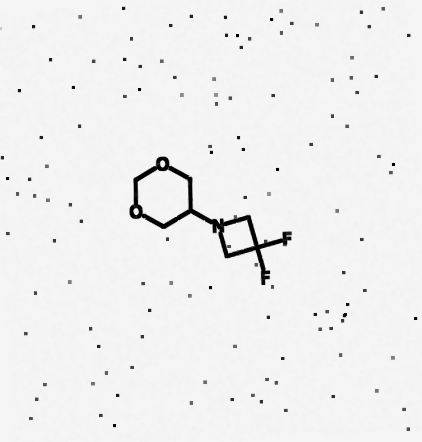 FC1(F)CN(C2COCOC2)C1